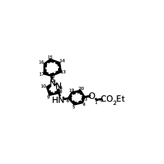 CCOC(=O)COc1ccc(Nc2ccn(-c3ccccc3)n2)cc1